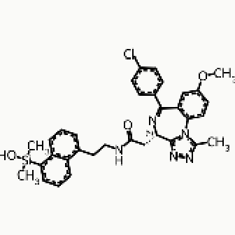 COc1ccc2c(c1)C(c1ccc(Cl)cc1)=N[C@@H](CC(=O)NCCc1cccc3c([Si](C)(C)O)cccc13)c1nnc(C)n1-2